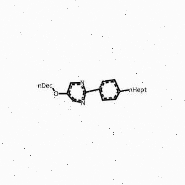 CCCCCCCCCCOc1cnc(-c2ccc(CCCCCCC)cc2)nc1